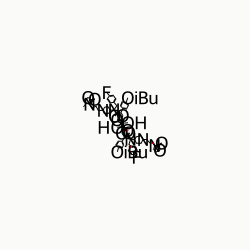 CC(C)COc1ccc(C(OC(=O)C(O)C(O)C(=O)OC(C(=O)N(Cc2ccc(F)cc2)C2CCN(CCCN3C(=O)OC[C@@H]3C)CC2)c2ccc(OCC(C)C)cc2)C(=O)N(Cc2ccc(F)cc2)C2CCN(CCCN3C(=O)OC[C@@H]3C)CC2)cc1